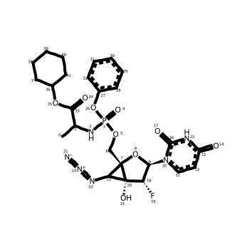 CC(NP(=O)(OC[C@@]12O[C@@H](n3ccc(=O)[nH]c3=O)[C@H](F)[C@@]1(O)C2N=[N+]=[N-])Oc1ccccc1)C(=O)OC1CCCCC1